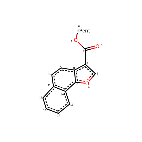 CCCCCOC(=O)c1coc2c1ccc1ccccc12